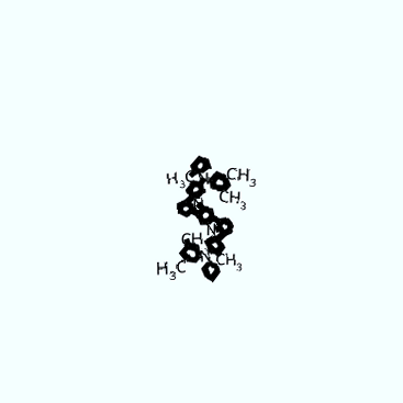 CC1=CC(N(c2ccc3c4cccc5c6cc7c(cc6n(c3c2)c45)c2cccc3c4ccc(N(c5cc(C)cc(C)c5)c5ccccc5C)cc4n7c32)C2C=CC=CC2C)CC(C)=C1